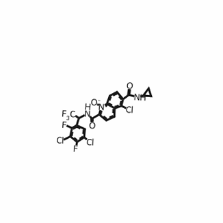 O=C(NC1CC1)c1ccc2c(ccc(C(=O)NC(c3cc(Cl)c(F)c(Cl)c3F)C(F)(F)F)[n+]2[O-])c1Cl